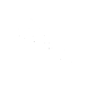 CC(=O)C1CCN(c2ncc(C(=O)Nc3ccc(OC(F)(F)F)cc3)cc2-c2cncnc2)CC1